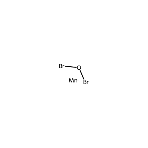 BrOBr.[Mn]